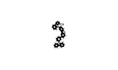 N#Cc1cccc2c3ccccc3n(-c3ccc4sc5ccc(C6=CC=CC(n7c8ccccc8c8ccccc87)C6)cc5c4c3)c12